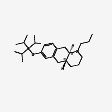 CCCN1CCC[C@@H]2Cc3cc(O[Si](C(C)C)(C(C)C)C(C)C)ccc3C[C@H]21